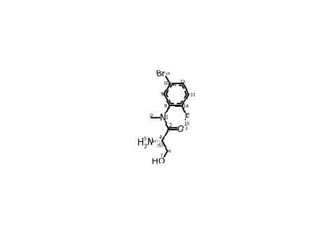 CN(C(=O)[C@@H](N)CO)c1cc(Br)ccc1F